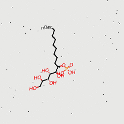 CCCCCCCCCCCCCCCCCCC(OP(=O)(O)O)[C@@H](O)[C@@H](O)[C@H](O)[C@H](O)CO